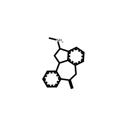 C=C1Cc2cccc3c2C(CC3[SiH2]C)c2ccccc21